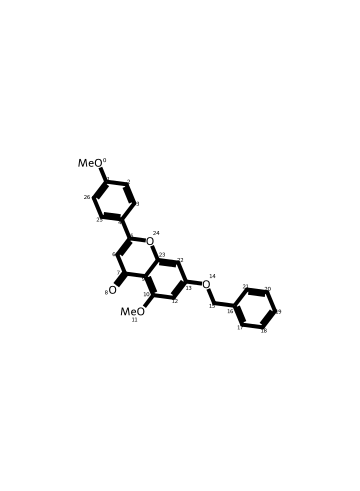 COc1ccc(-c2[c]c(=O)c3c(OC)cc(OCc4ccccc4)cc3o2)cc1